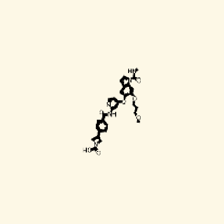 CNC(=O)n1ccc2cc(Oc3ccnc(NC(=O)c4ccc(C5CN(C(=O)O)C5)cc4)c3)c(OCCCOC)cc21